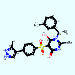 CCCCc1nc(=O)c(S(=O)(=O)c2ccc(-c3c[nH]nc3C)cc2)c(O)n1[C@@H](CC)c1cccc(C#N)c1